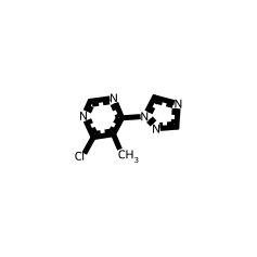 Cc1c(Cl)ncnc1-n1cncn1